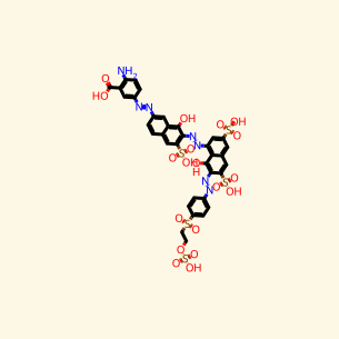 Nc1ccc(/N=N/c2ccc3cc(S(=O)(=O)O)c(/N=N/c4cc(S(=O)(=O)O)cc5cc(S(=O)(=O)O)c(/N=N/c6ccc(S(=O)(=O)CCOS(=O)(=O)O)cc6)c(O)c45)c(O)c3c2)cc1C(=O)O